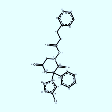 O=C1CN(OC(=O)CCc2cccnc2)C(=O)C(c2ccccc2)(n2cc(Cl)nn2)N1